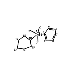 C[SH](C)(C)(c1ccccc1)C1CCCCC1